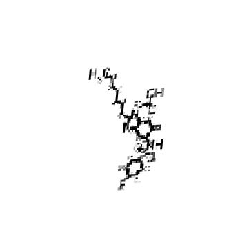 CCCCCCCc1nc2cc(NS(=O)(=O)c3ccc(F)cc3)ccc2n1CC(=O)O